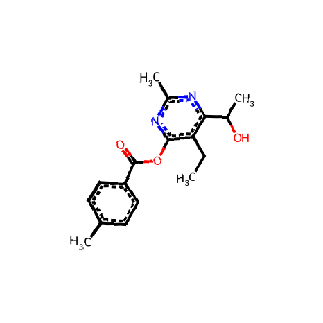 CCc1c(OC(=O)c2ccc(C)cc2)nc(C)nc1C(C)O